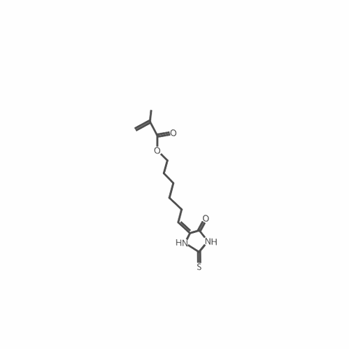 C=C(C)C(=O)OCCCCCC=C1NC(=S)NC1=O